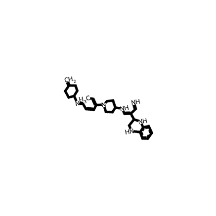 C=C1CCC(/N=C/C=C\C(=C/C)N2CCC(N/C=C(\C=N)C3CNc4ccccc4N3)CC2)CC1